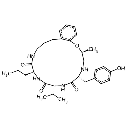 CCC[C@@H]1NC(=O)[C@@H](C(C)C)NC(=O)[C@@H](Cc2ccc(O)cc2)NC[C@H](C)Oc2ccccc2CCCNC1=O